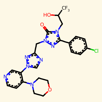 O=c1n(Cc2ncn(-c3cnccc3N3CCOCC3)n2)nc(-c2ccc(Cl)cc2)n1CC(O)C(F)(F)F